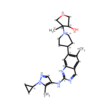 Cc1c(Nc2ncc3cc(C(F)(F)F)c(C4CCN(C5(C)COCC5O)CC4)cc3n2)cnn1C1CC1